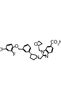 O=C(O)c1ccc2nc(CN3CC[C@@H](c4cccc(COc5ccc(Cl)cc5F)c4)C3)n(C[C@@H]3CCO3)c2c1